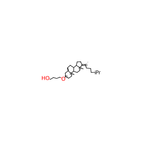 CC(C)CCC[C@@H](C)[C@@H]1CCC2C3CC=C4C[C@H](OCCCCO)CC[C@@]4(C)C3CC[C@]21C